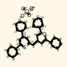 C(=C1C=C(c2ccccc2)OC(c2ccccc2)=C1)c1cc(-c2ccccc2)cc(-c2ccccc2)[s+]1.[O-][Cl+3]([O-])([O-])[O-]